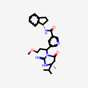 COCCC(c1cncc(C(=O)N[C@H]2CCc3ccccc32)c1)N1C(=N)N[C@](C)(C(C)C)CC1=O